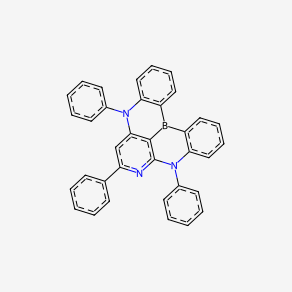 c1ccc(-c2cc3c4c(n2)N(c2ccccc2)c2ccccc2B4c2ccccc2N3c2ccccc2)cc1